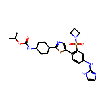 CC(C)OC(=O)NC1CCC(c2ncc(-c3ccc(Nc4ncc[nH]4)cc3S(=O)(=O)N3CCC3)s2)CC1